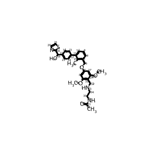 COc1cc(OCc2cccc(-c3ccc(C(O)c4nccs4)cc3)c2C)cc(OC)c1CNCCNC(C)=O